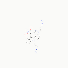 N#CCCCn1cc(C2=C(c3cn(CCCC#N)c4ccccc34)C(=O)NC2=O)c2ccccc21